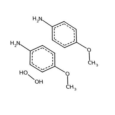 COc1ccc(N)cc1.COc1ccc(N)cc1.OO